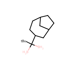 BC(B)(C1CCC2CCC(C2)C1)C(C)(C)C